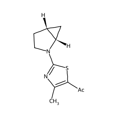 CC(=O)c1sc(N2CC[C@@H]3C[C@@H]32)nc1C